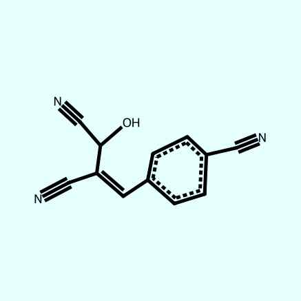 N#CC(=Cc1ccc(C#N)cc1)C(O)C#N